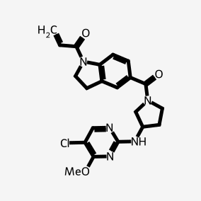 C=CC(=O)N1CCc2cc(C(=O)N3CCC(Nc4ncc(Cl)c(OC)n4)C3)ccc21